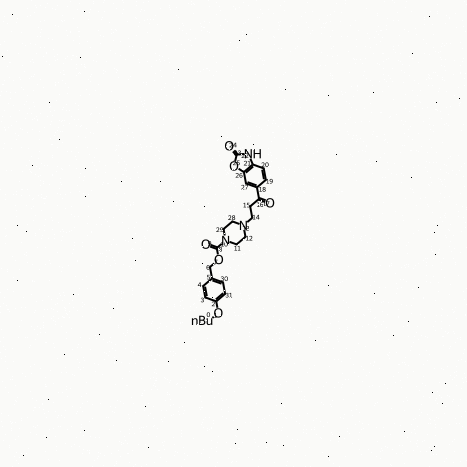 CCCCOc1ccc(COC(=O)N2CCN(CCC(=O)c3ccc4[nH]c(=O)oc4c3)CC2)cc1